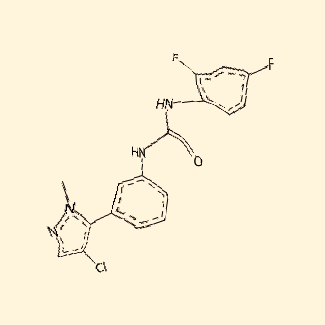 Cn1ncc(Cl)c1-c1cccc(NC(=O)Nc2ccc(F)cc2F)c1